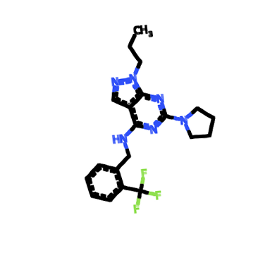 CCCn1ncc2c(NCc3ccccc3C(F)(F)F)nc(N3CCCC3)nc21